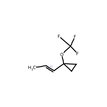 C/C=C/C1(OC(F)(F)F)CC1